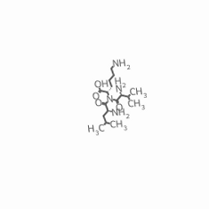 CC(C)C[C@H](N)C(=O)N(C(=O)[C@@H](N)C(C)C)[C@@H](CCCCN)C(=O)O